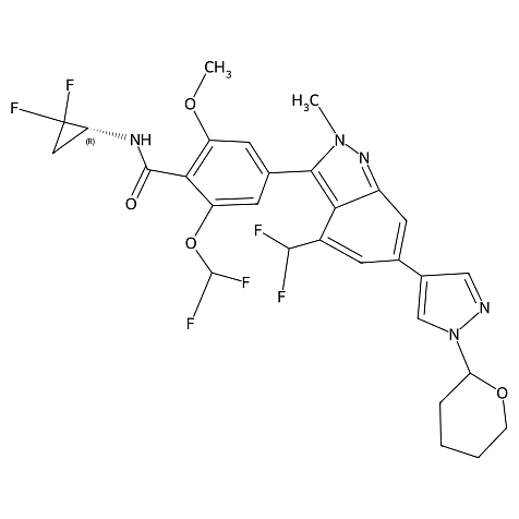 COc1cc(-c2c3c(C(F)F)cc(-c4cnn(C5CCCCO5)c4)cc3nn2C)cc(OC(F)F)c1C(=O)N[C@@H]1CC1(F)F